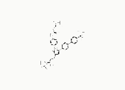 CC(C)NC(=O)CCc1cc(-c2ccc(-c3ccc(C(F)(F)F)cc3)cc2)n(-c2ccc(NC(=O)CCN)cc2)n1